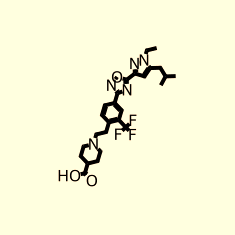 CCn1nc(-c2nc(-c3ccc(CCN4CCC(C(=O)O)CC4)c(C(F)(F)F)c3)no2)cc1CC(C)C